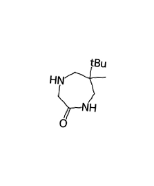 CC(C)(C)C1(C)CNCC(=O)NC1